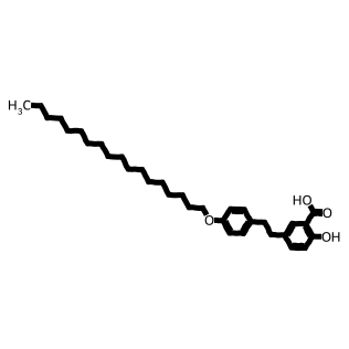 CCCCCCCCCCCCCCCCCCOc1ccc(CCc2ccc(O)c(C(=O)O)c2)cc1